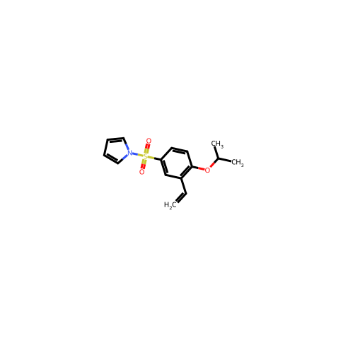 C=Cc1cc(S(=O)(=O)n2cccc2)ccc1OC(C)C